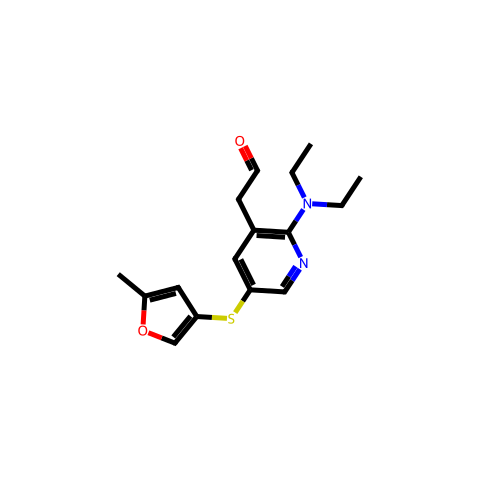 CCN(CC)c1ncc(Sc2coc(C)c2)cc1CC=O